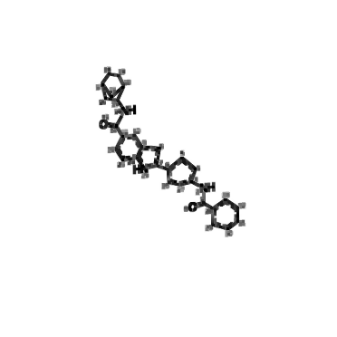 O=C(Nc1ccc(-c2cc3cc(C(=O)NC4CC5CCC4C5)ccc3[nH]2)cc1)c1ccccc1